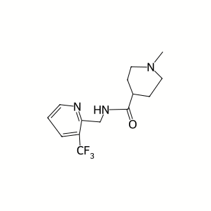 CN1CCC(C(=O)NCc2ncccc2C(F)(F)F)CC1